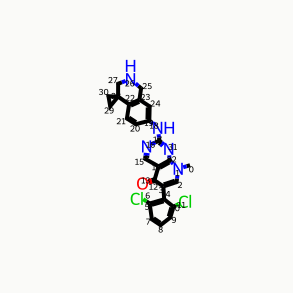 Cn1cc(-c2c(Cl)cccc2Cl)c(=O)c2cnc(Nc3ccc4c(c3)CNCC43CC3)nc21